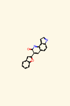 O=C1N=c2c(ccc3c2=CC=N3)C=C1c1cc2ccccc2o1